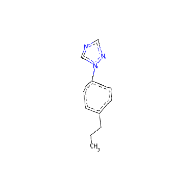 CCCc1ccc(-n2cncn2)cc1